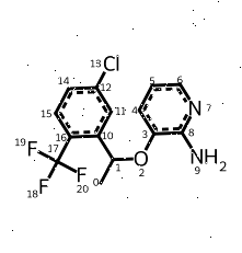 CC(Oc1cccnc1N)c1cc(Cl)ccc1C(F)(F)F